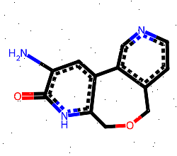 Nc1cc2c([nH]c1=O)COCc1ccncc1-2